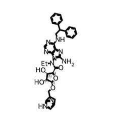 CCN(C(=O)[C@H]1O[C@@H](OCC2Cc3c[nH]c2n3)[C@H](O)[C@@H]1O)n1c(N)nc2c(NCC(c3ccccc3)c3ccccc3)ncnc21